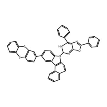 c1ccc(C2=c3nc(-c4ccccc4)oc3=NC(n3c4ccc(-c5ccc6c(c5)Sc5ccccc5S6)cc4c4c5ccccc5ccc43)N2)cc1